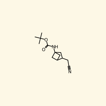 CC(C)(C)OC(=O)NC12CC(CC#N)C(C1)C2